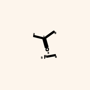 CC(C)=O.CF